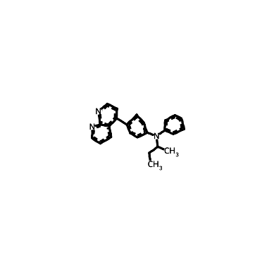 CCC(C)N(c1ccccc1)c1ccc(-c2ccnc3ncccc23)cc1